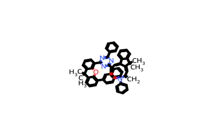 C=C1/C=C2\C(=C/Cc3cc(-c4cccc5c4Oc4c(-c6nc(-c7ccccc7)nc(-c7ccccc7)n6)cccc4C5(C)C)ccc3N1c1ccccc1)c1ccccc1C2(C)C